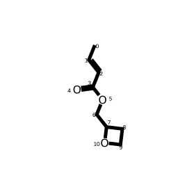 CC=CC(=O)OCC1CCO1